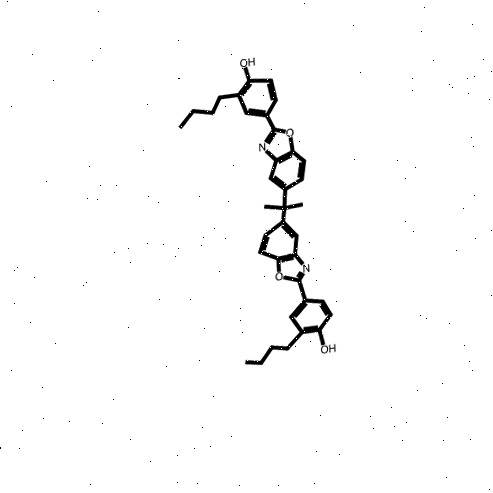 CCCCc1cc(-c2nc3cc(C(C)(C)c4ccc5oc(-c6ccc(O)c(CCCC)c6)nc5c4)ccc3o2)ccc1O